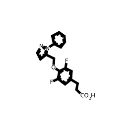 O=C(O)CCc1cc(F)c(OCc2ccnn2-c2ccccc2)c(F)c1